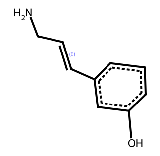 NC/C=C/c1cccc(O)c1